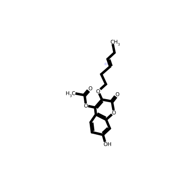 CC/C=C/CCOc1c(OC(C)=O)c2ccc(O)cc2oc1=O